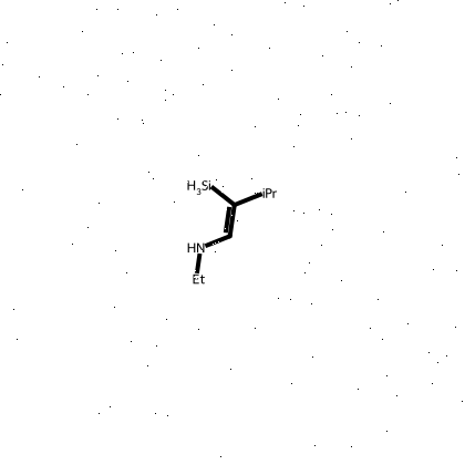 CCNC=C([SiH3])C(C)C